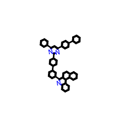 c1ccc(-c2ccc(-c3cc(-c4ccccc4)nc(-c4ccc(-c5cccc(-c6nc7ccccc7c7c6ccc6ccccc67)c5)cc4)n3)cc2)cc1